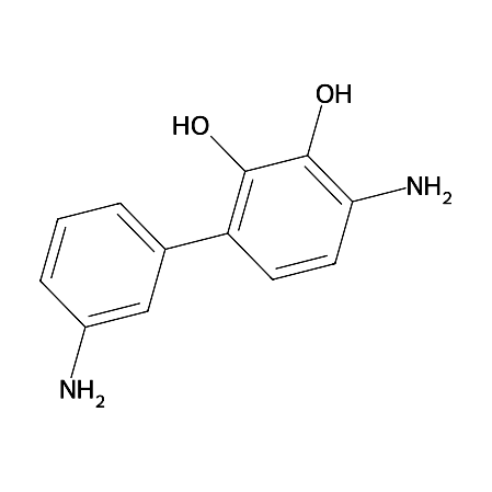 Nc1cccc(-c2ccc(N)c(O)c2O)c1